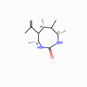 C=C(C)C1[C@H](C)C(C)[C@H](C)NC(=O)N[C@@H]1C